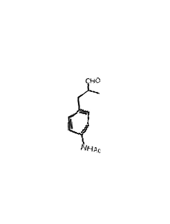 CC(=O)Nc1ccc(CC(C)C=O)cc1